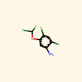 Nc1cc(OC(F)F)c(F)cc1F